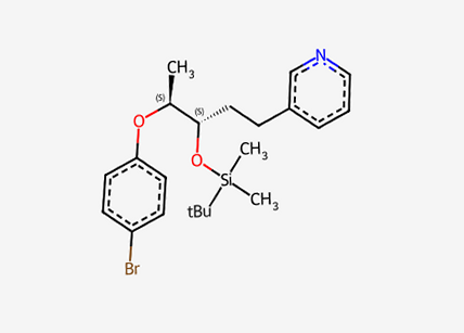 C[C@H](Oc1ccc(Br)cc1)[C@H](CCc1cccnc1)O[Si](C)(C)C(C)(C)C